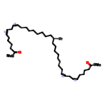 COC(=O)CCCC/C=C\C/C=C\CCCCCCCCC(CCCCCCCC/C=C\C/C=C\CCCCC(=O)OC)C(C)C